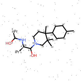 CCCC(O)N[C@H](C(C)C)C(O)N1CCC(C)(C2CCC(C)CC2)C(C)(C)C1